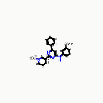 COc1cccc(Nc2cc(-c3ccccc3)nc(C3=CN(C(C)(C)C)CCC3)n2)c1